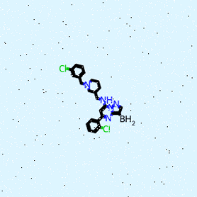 Bc1cnn2c(NCC3CCCN(Cc4cccc(Cl)c4)C3)cc(-c3ccccc3Cl)nc12